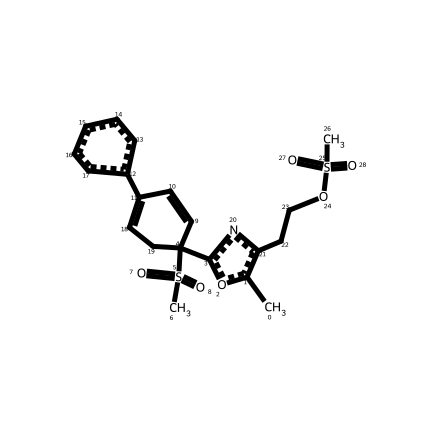 Cc1oc(C2(S(C)(=O)=O)C=CC(c3ccccc3)=CC2)nc1CCOS(C)(=O)=O